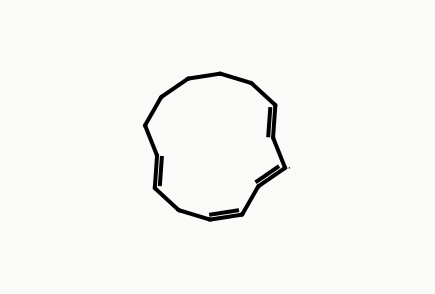 [C]1=C/C=C\C/C=C/CCCCC/C=C/1